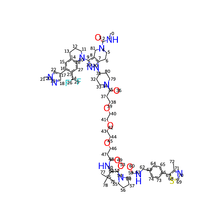 CNC(=O)N1CCc2c(c(N3CCCc4cc(-c5cnn(C)c5)c(C(F)F)cc43)nn2C2CCN(C(=O)CCOCCOCCOCCC(=O)N[C@H](C(=O)N3CCC[C@H]3C(=O)NCc3ccc(-c4scnc4C)cc3)C(C)(C)C)CC2)C1